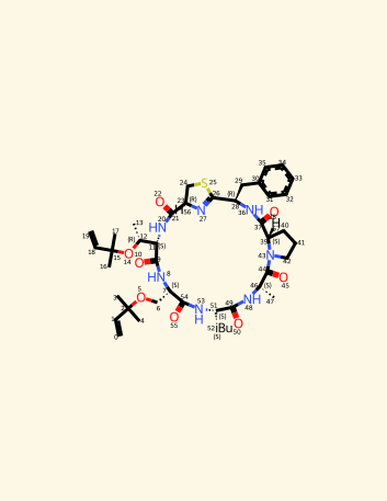 C=CC(C)(C)OC[C@@H]1NC(=O)[C@H]([C@@H](C)OC(C)(C)C=C)NC(=O)[C@@H]2CSC(=N2)[C@@H](Cc2ccccc2)NC(=O)[C@@H]2CCCN2C(=O)[C@H](C)NC(=O)[C@H]([C@@H](C)CC)NC1=O